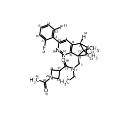 CCN(C[C@@]12CC[C@@H](c3cc(-c4c(F)cccc4F)nnc31)C2(C)C)C(=O)C1CN(C(C)=O)C1